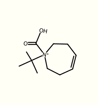 CC(C)(C)[N+]1(C(=O)O)CCC=CCC1